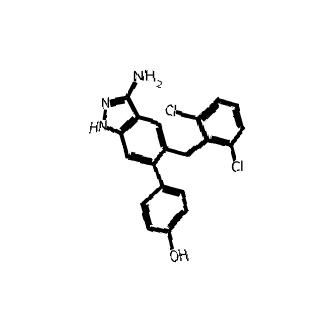 Nc1n[nH]c2cc(-c3ccc(O)cc3)c(Cc3c(Cl)cccc3Cl)cc12